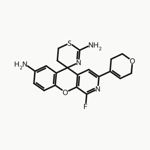 NC1=NC2(CCS1)c1cc(N)ccc1Oc1c2cc(C2=CCOCC2)nc1F